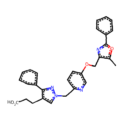 Cc1oc(-c2ccccc2)nc1COc1ccc(Cn2cc(CCC(=O)O)c(-c3ccccc3)n2)nc1